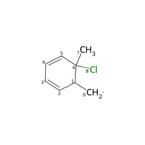 [CH2]C1C=CC=CC1(C)Cl